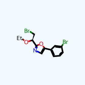 CCO[C@@H](CBr)c1ncc(-c2cccc(Br)c2)o1